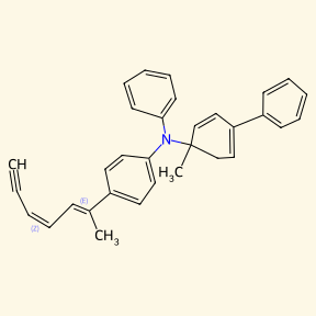 C#C/C=C\C=C(/C)c1ccc(N(c2ccccc2)C2(C)C=CC(c3ccccc3)=CC2)cc1